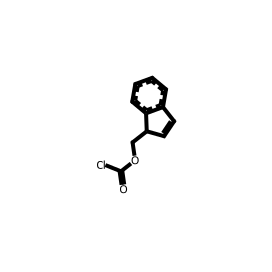 O=C(Cl)OCC1C=Cc2ccccc21